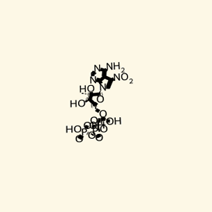 C[C@@]1(O)[C@H](O)[C@@H](COP(=O)(O)OP(=O)(O)OP(=O)(O)O)O[C@H]1n1cc([N+](=O)[O-])c2c(N)ncnc21